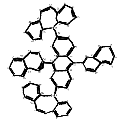 C1=Cc2ccccc2N(c2ccc3c(-c4ccc5ccccc5c4)c4ccc(N5c6ccccc6C=Cc6ccccc65)cc4c(-c4ccc5ccccc5c4)c3c2)c2ccccc21